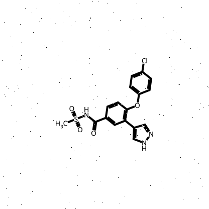 CS(=O)(=O)NC(=O)c1ccc(Oc2ccc(Cl)cc2)c(-c2cn[nH]c2)c1